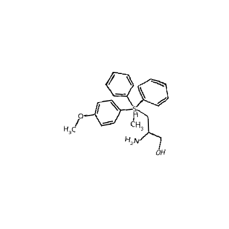 COc1ccc([SH](C)(CC(N)CO)(c2ccccc2)c2ccccc2)cc1